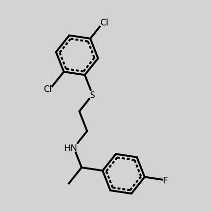 CC(NCCSc1cc(Cl)ccc1Cl)c1ccc(F)cc1